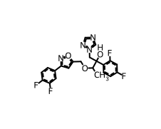 CC(OCc1cc(-c2ccc(F)c(F)c2)no1)C(O)(Cn1cncn1)c1ccc(F)cc1F